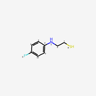 Fc1ccc(NCCS)cc1